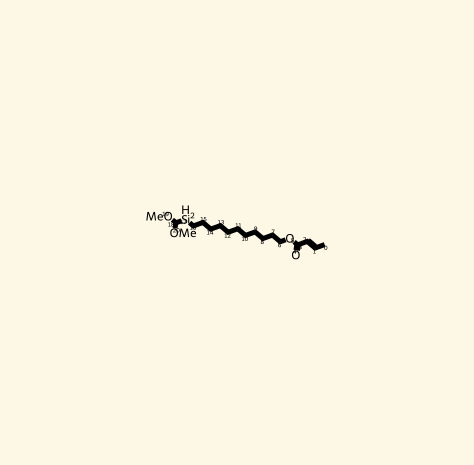 CC=CC(=O)OCCCCCCCCCCC[SiH2]C(OC)OC